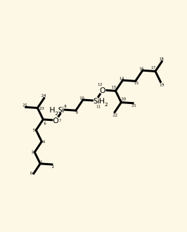 CC(C)CCCC(O[SiH2]CC[SiH2]OC(CCCC(C)C)C(C)C)C(C)C